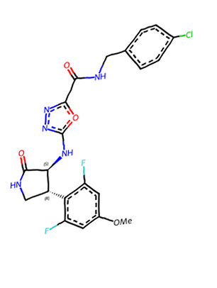 COc1cc(F)c([C@@H]2CNC(=O)[C@H]2Nc2nnc(C(=O)NCc3ccc(Cl)cc3)o2)c(F)c1